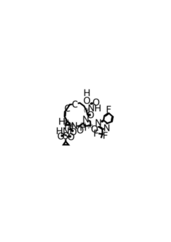 CC(F)(F)c1nc2ccc(F)cc2nc1O[C@@H]1C[C@H]2C(=O)N[C@]3(C(=O)NS(=O)(=O)C4CC4)C[C@H]3C=CCCCCC[C@H](NC(=O)O)C(=O)N2C1